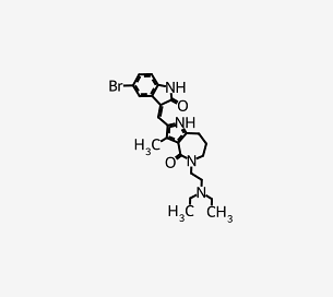 CCN(CC)CCN1CCCc2[nH]c(/C=C3\C(=O)Nc4ccc(Br)cc43)c(C)c2C1=O